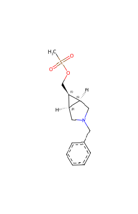 CS(=O)(=O)OC[C@H]1[C@H]2CN(Cc3ccccc3)C[C@@H]12